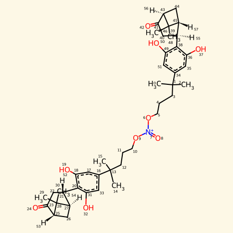 CC(C)(CCCO[N+](=O)OCCCC(C)(C)c1cc(O)c([C@H]2CC(=O)[C@H]3C[C@H]2C3(C)C)c(O)c1)c1cc(O)c([C@H]2CC(=O)[C@H]3C[C@H]2C3(C)C)c(O)c1